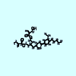 C=C(CC)C(=O)OCCC(CCOC(=O)C(=C)CO)CC1CCC(c2ccc(CCCCC)c(CC)c2)CC1